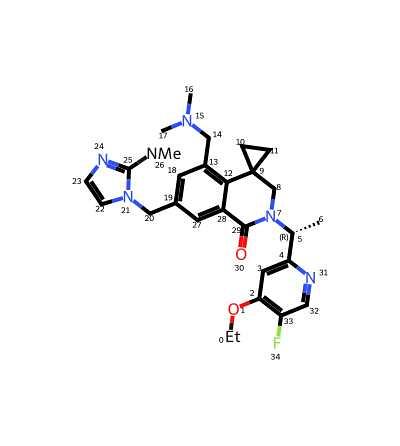 CCOc1cc([C@@H](C)N2CC3(CC3)c3c(CN(C)C)cc(Cn4ccnc4NC)cc3C2=O)ncc1F